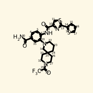 NC(=O)c1ccc(NC(=O)c2csc(-c3cccs3)n2)c(N2CCCC3(CCN(C(=O)C(F)(F)F)CC3)C2)c1